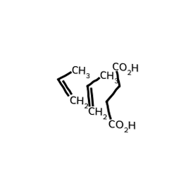 C=CC.C=CC.O=C(O)CCC(=O)O